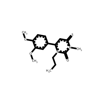 CCCn1c(-c2ccc(OC)c(OC)c2)cc(=S)n(C)c1=O